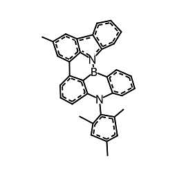 Cc1cc(C)c(N2c3ccccc3B3c4c(cccc42)-c2cc(C)cc4c5ccccc5n3c24)c(C)c1